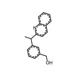 CC(c1cccc(CO)c1)c1ccc2ccccc2n1